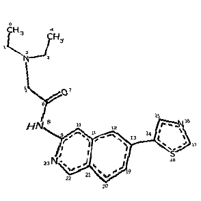 CCN(CC)CC(=O)Nc1cc2cc(-c3cncs3)ccc2cn1